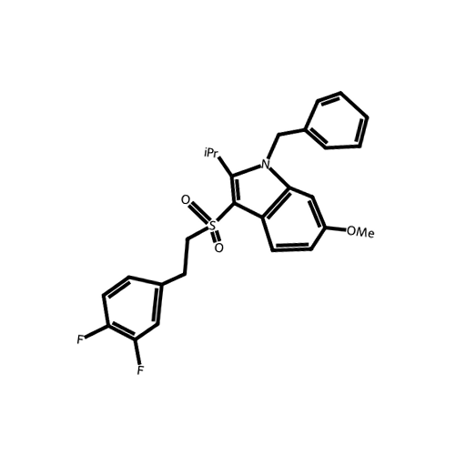 COc1ccc2c(S(=O)(=O)CCc3ccc(F)c(F)c3)c(C(C)C)n(Cc3ccccc3)c2c1